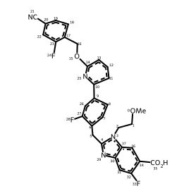 COCCn1c(Cc2ccc(-c3cccc(OCc4ccc(C#N)cc4F)n3)cc2F)nc2cc(F)c(C(=O)O)cc21